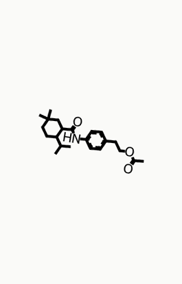 CC(=O)OCCc1ccc(NC(=O)C2CC(C)(C)CCC2C(C)C)cc1